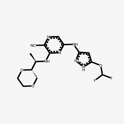 C[C@@H](Nc1nc(Nc2cc(OC(F)F)[nH]n2)cnc1C#N)[C@@H]1COCCO1